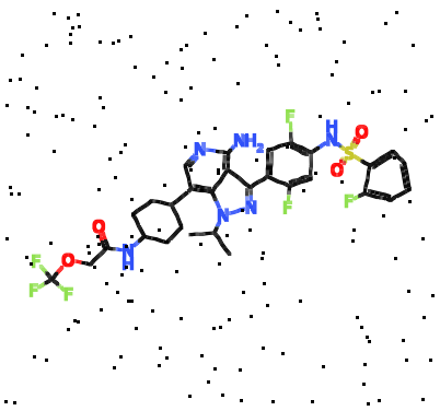 CC(C)n1nc(-c2cc(F)c(NS(=O)(=O)c3ccccc3F)cc2F)c2c(N)ncc(C3CCC(NC(=O)COC(F)(F)F)CC3)c21